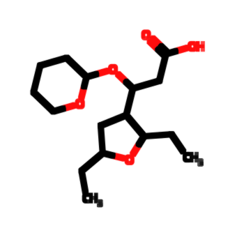 CCC1CC(C(CC(=O)O)OC2CCCCO2)C(CC)O1